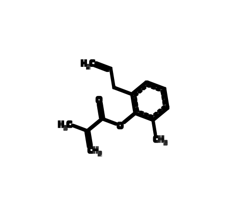 C=CCc1cccc(C)c1OC(=O)C(=C)C